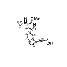 COc1ncc(-c2ccc3ncc(C#CCO)n3c2)cc1NC1CC1